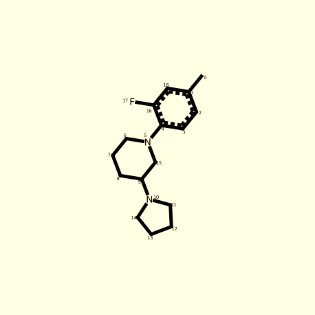 Cc1ccc(N2CCCC(N3CCCC3)C2)c(F)c1